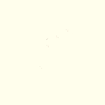 CN(C[C@H]1COC(N)=N1)c1cccc(N2CCCCC2)c1